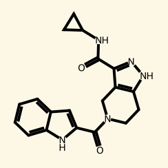 O=C(NC1CC1)c1n[nH]c2c1CN(C(=O)c1cc3ccccc3[nH]1)CC2